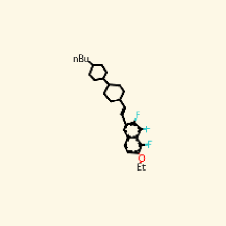 CCCCC1CCC(C2CCC(/C=C/c3cc4ccc(OCC)c(F)c4c(F)c3F)CC2)CC1